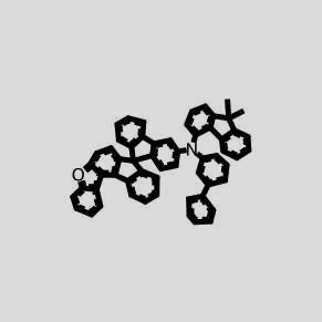 CC1(C)c2ccccc2-c2c(N(c3cccc(-c4ccccc4)c3)c3ccc4c(c3)-c3ccccc3C43c4ccccc4-c4c3ccc3oc5ccccc5c43)cccc21